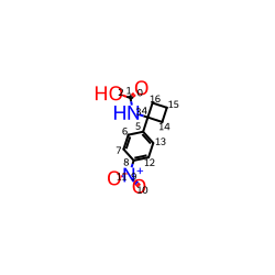 O=C(O)NC1(c2ccc([N+](=O)[O-])cc2)CCC1